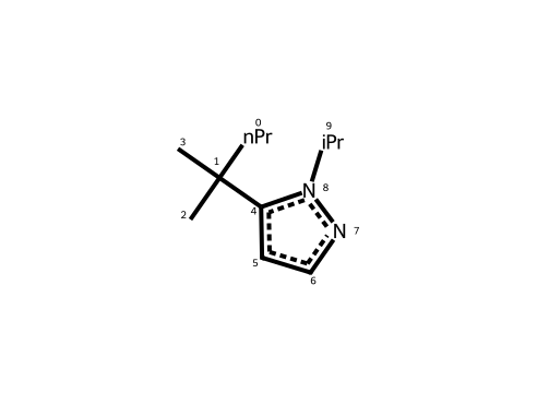 CCCC(C)(C)c1ccnn1C(C)C